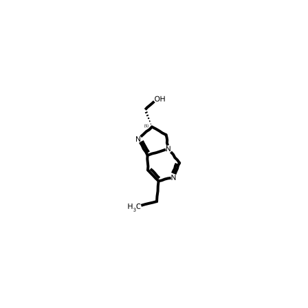 CCC1=CC2=N[C@H](CO)CN2C=N1